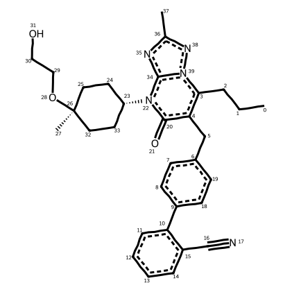 CCCc1c(Cc2ccc(-c3ccccc3C#N)cc2)c(=O)n([C@H]2CC[C@](C)(OCCO)CC2)c2nc(C)nn12